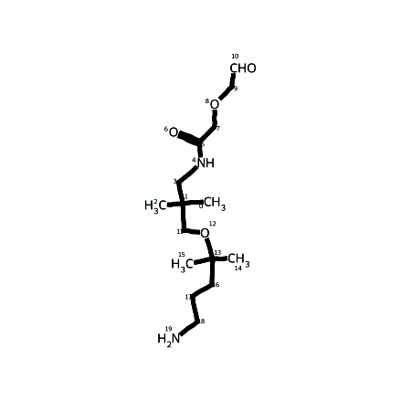 CC(C)(CNC(=O)COCC=O)COC(C)(C)CCCN